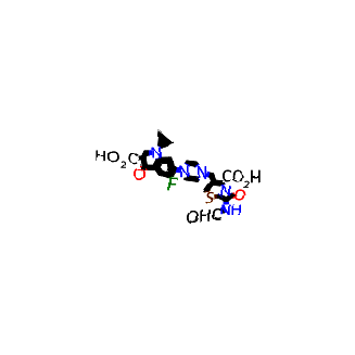 O=CNC1C(=O)N2C(C(=O)O)=C(CN3CCN(c4cc5c(cc4F)C(=O)C(C(=O)O)CN5C4CC4)CC3)CSC12